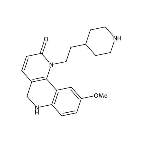 COc1ccc2c(c1)-c1c(ccc(=O)n1CCC1CCNCC1)CN2